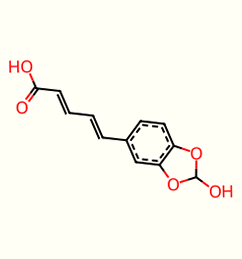 O=C(O)C=CC=Cc1ccc2c(c1)OC(O)O2